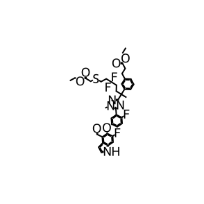 CCOC(=O)CCc1cccc(C(C)(CCC(F)(F)CCSCC(=O)OCC)c2nc(-c3cc(Oc4c(F)cc5[nH]ccc5c4C=O)ccc3F)n(C)n2)c1